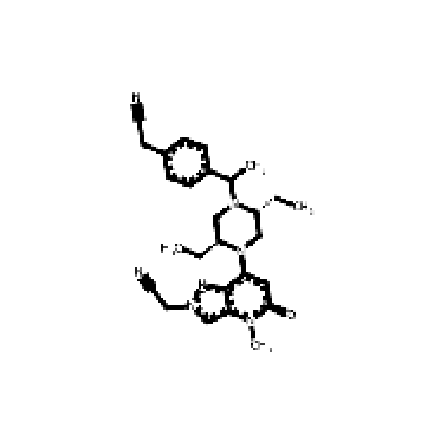 CC[C@H]1CN(C(C)c2ccc(CC#N)cc2)[C@H](CC)CN1c1cc(=O)n(C)c2cn(CC#N)nc12